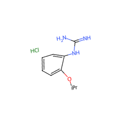 CC(C)Oc1ccccc1NC(=N)N.Cl